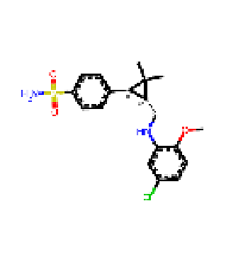 COc1ccc(Cl)cc1NC[C@@H]1[C@@H](c2ccc(S(N)(=O)=O)cc2)C1(C)C